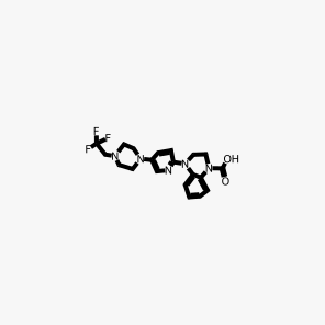 O=C(O)N1CCN(c2ccc(N3CCN(CC(F)(F)F)CC3)cn2)c2ccccc21